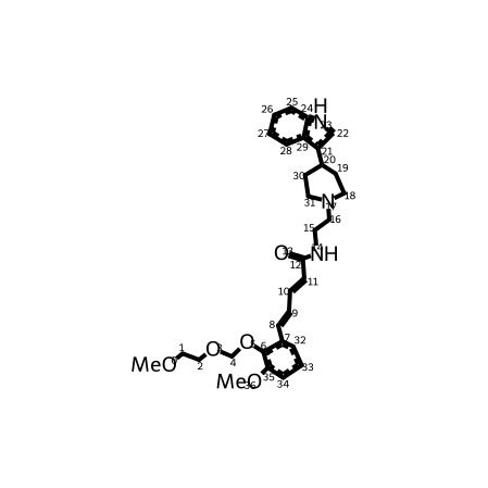 COCCOCOc1c(/C=C/C=C/C(=O)NCCN2CCC(c3c[nH]c4ccccc34)CC2)cccc1OC